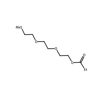 CCC(=O)OCCOCCOCCSC